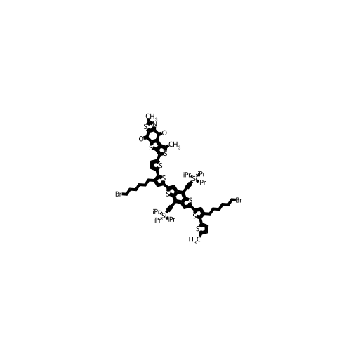 Cc1ccc(-c2sc(-c3cc4c(C#C[Si](C(C)C)(C(C)C)C(C)C)c5sc(-c6cc(CCCCCCBr)c(-c7ccc(-c8sc(C)c9c%10c(sc89)C(=O)c8sc(C)nc8C%10=O)s7)s6)cc5c(C#C[Si](C(C)C)(C(C)C)C(C)C)c4s3)cc2CCCCCCBr)s1